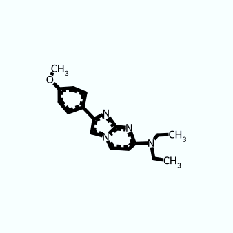 CCN(CC)c1ccn2cc(-c3ccc(OC)cc3)nc2n1